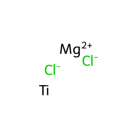 [Cl-].[Cl-].[Mg+2].[Ti]